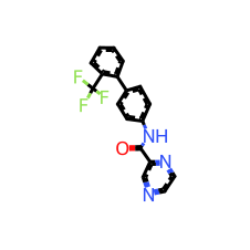 O=C(Nc1ccc(-c2ccccc2C(F)(F)F)cc1)c1cnccn1